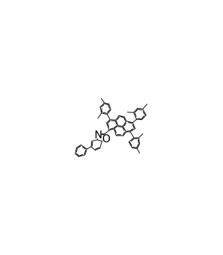 Cc1ccc(-c2cc(C3=NC4C=C(c5ccccc5)C=CC4O3)c3ccc4c(-c5ccc(C)cc5C)cc(-c5ccc(C)cc5C)c5ccc2c3c45)c(C)c1